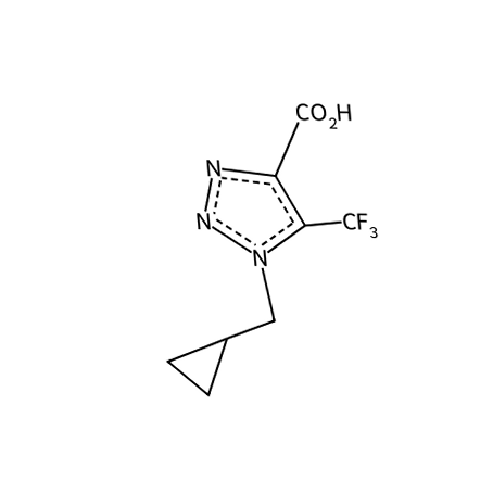 O=C(O)c1nnn(CC2CC2)c1C(F)(F)F